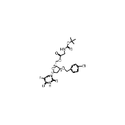 CC(C)(C)OC(=O)NCC(=O)OC[C@H]1O[C@@H](n2cc(F)c(=O)[nH]c2=O)C[C@@H]1OCc1ccc(Cl)cc1